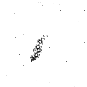 CCCCc1ccc(-c2ccc3c(F)c(-c4ccc(OC(F)F)cc4)ccc3c2)cc1